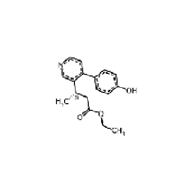 CCOC(=O)C[C@H](C)c1cnccc1-c1ccc(O)cc1